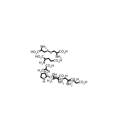 CC(N)C(=O)O.CC(O)C(N)C(=O)O.NC(CCC(=O)O)C(=O)O.NC(CO)C(=O)O.NC(CSSCC(N)C(=O)O)C(=O)O.NCC(=O)O.O=C(O)[C@@H]1CCCN1